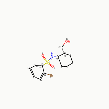 O=S(=O)(N[C@H]1CCCC[C@H]1CO)c1ccccc1Br